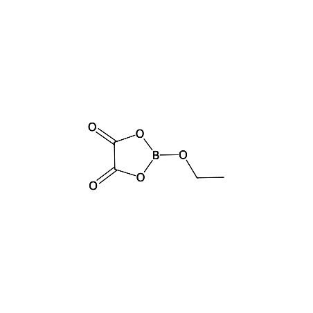 CCOB1OC(=O)C(=O)O1